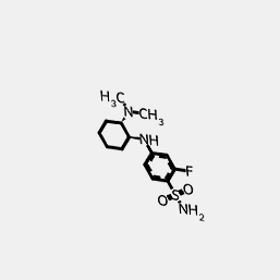 CN(C)[C@H]1CCCC[C@@H]1Nc1ccc(S(N)(=O)=O)c(F)c1